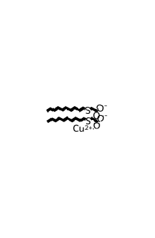 CCCCCCCCCCSCC(=O)[O-].CCCCCCCCCCSCC(=O)[O-].[Cu+2]